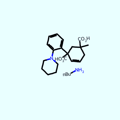 CC1(C(=O)O)CC=CC(C(=O)O)(c2ccccc2N2CCCCC2)C1.CCCCN